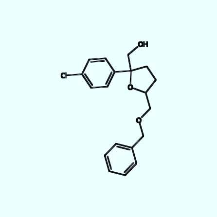 OCC1(c2ccc(Cl)cc2)CCC(COCc2ccccc2)O1